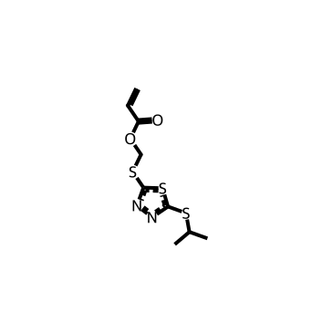 C=CC(=O)OCSc1nnc(SC(C)C)s1